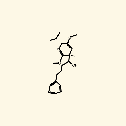 COC1=N[C@@](C)(C(O)CCCc2ccccc2)C(OC)=N[C@@H]1C(C)C